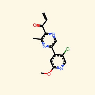 C=CC(=O)c1ncc(-c2cc(OC)ncc2Cl)nc1C